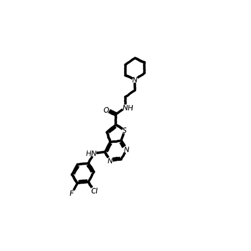 O=C(NCCN1CCCCC1)c1cc2c(Nc3ccc(F)c(Cl)c3)ncnc2s1